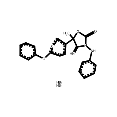 Br.Br.CC1(c2ccc(Oc3ccccc3)cc2)OC(=O)N(Nc2ccccc2)C1=N